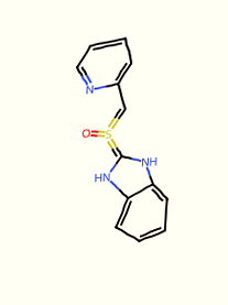 O=S(=Cc1ccccn1)=c1[nH]c2ccccc2[nH]1